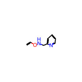 C=CONCc1ccccn1